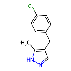 [CH2]c1[nH]ncc1Cc1ccc(Cl)cc1